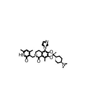 Cc1cc(C)c(CN2CCc3c(c(C)c4c(c3-n3ccnc3)O[C@](C)([C@H]3CC[C@H](N(C)C)CC3)O4)C2=O)c(=O)[nH]1